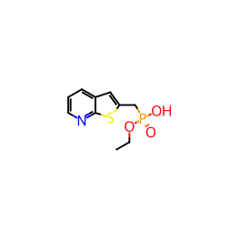 CCOP(=O)(O)Cc1cc2cccnc2s1